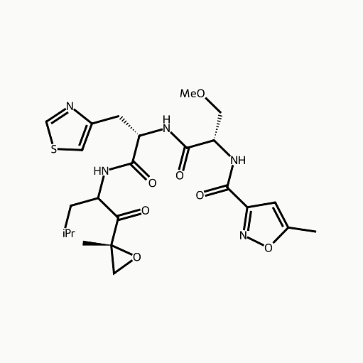 COC[C@H](NC(=O)c1cc(C)on1)C(=O)N[C@@H](Cc1cscn1)C(=O)NC(CC(C)C)C(=O)[C@@]1(C)CO1